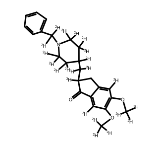 [2H]c1c2c(c([2H])c(OC([2H])([2H])[2H])c1OC([2H])([2H])[2H])C(=O)C([2H])(C([2H])([2H])C1([2H])C([2H])([2H])C([2H])([2H])N(C([2H])([2H])c3ccccc3)C([2H])([2H])C1([2H])[2H])C2